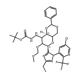 CCc1nc([C@@H]2OC3COC(c4ccccc4)O[C@@H]3C(NNC(=O)OC(C)(C)C)C2OCOC)n(-c2cc(Cl)cnc2C(F)(F)F)n1